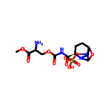 COC(=O)C(N)COC(=O)NC(=O)[C@@H]1CCC23CN1C(O2)N3OS(=O)(=O)O